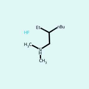 CCCCC(CC)C[SiH](C)C.F